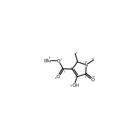 CC1C(C(=O)OC(C)(C)C)=C(O)C(=O)N1C